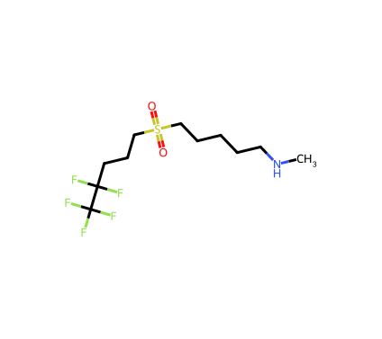 CNCCCCCS(=O)(=O)CCCC(F)(F)C(F)(F)F